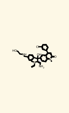 C=CN(C)/C(=C\N)C(O)(c1ccc(CNCCO)cc1)c1ccc2c(c1)c(-c1cccc(Cl)c1)cc(=O)n2C